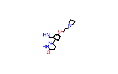 N=Cc1cc(OCCCN2CCCC2)ccc1C1=NNC(=O)CC1